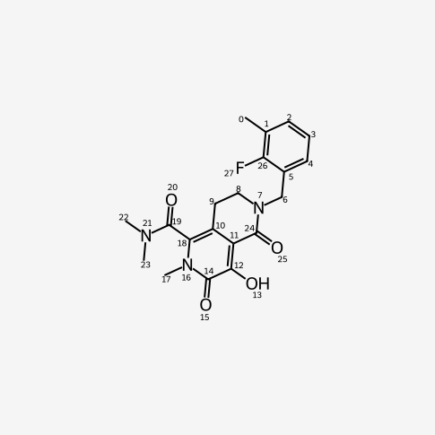 Cc1cccc(CN2CCc3c(c(O)c(=O)n(C)c3C(=O)N(C)C)C2=O)c1F